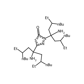 CCCCC(CC)CC(N)(CC(CC)CCCC)c1nn(C(N)(CC(CC)CCCC)CC(CC)CCCC)c(=O)s1